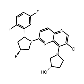 O[C@H]1CCN(c2c(Cl)cnc3ccc(N4C[C@@H](F)C[C@@H]4c4cc(F)ccc4F)nc23)C1